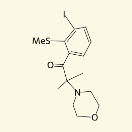 CSc1c(I)cccc1C(=O)C(C)(C)N1CCOCC1